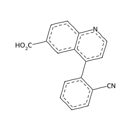 N#Cc1ccccc1-c1ccnc2ccc(C(=O)O)cc12